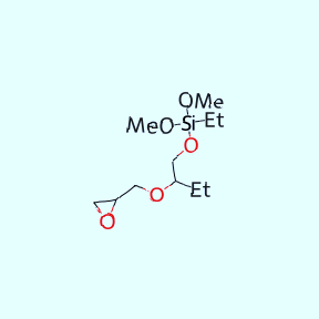 CCC(CO[Si](CC)(OC)OC)OCC1CO1